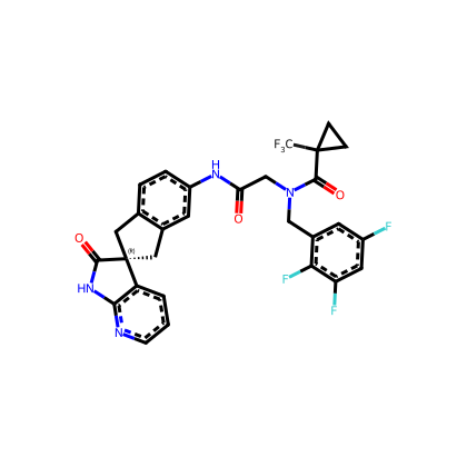 O=C(CN(Cc1cc(F)cc(F)c1F)C(=O)C1(C(F)(F)F)CC1)Nc1ccc2c(c1)C[C@@]1(C2)C(=O)Nc2ncccc21